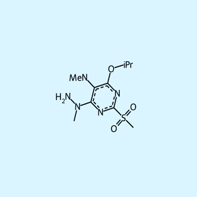 CNc1c(OC(C)C)nc(S(C)(=O)=O)nc1N(C)N